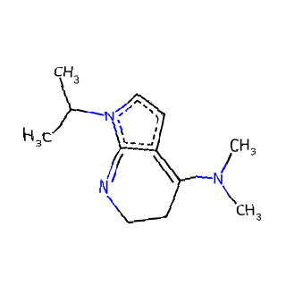 CC(C)n1ccc2c1=NCCC=2N(C)C